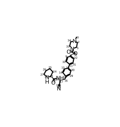 CN1CCN(S(=O)(=O)c2ccc(-c3ccc(C[C@@H](C#N)NC(=O)[C@@H]4CCCCN4)cc3)cc2)CC1